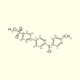 Cc1ccc([S+]([O-])c2ccc(-c3ccc(S(C)(=O)=O)cc3)cc2)cc1